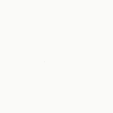 C#Cc1cccc(C)c1Br